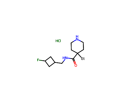 CCC1(C(=O)NCC2CC(F)C2)CCNCC1.Cl